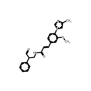 COc1cc(/C=C/C(=O)NCC(C=O)c2ccccc2)ccc1-n1cnc(C)c1